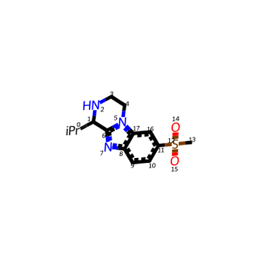 CC(C)C1NCCn2c1nc1ccc(S(C)(=O)=O)cc12